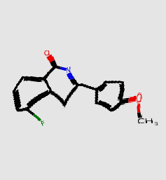 COc1ccc(C2=NC(=O)c3cccc(F)c3C2)cc1